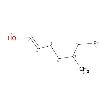 CC(C)CC(C)CC/C=C/O